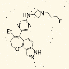 CCC1=C(c2cnc(NC3CN(CCCF)C3)cn2)c2ccc3[nH]ncc3c2OCC1